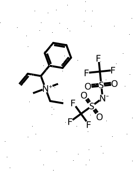 C=CC(c1ccccc1)[N+](C)(C)CC.O=S(=O)([N-]S(=O)(=O)C(F)(F)F)C(F)(F)F